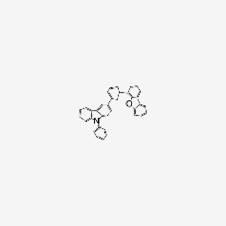 C1=CC(c2cccc3c2oc2ccccc23)CC(c2ccc3c(c2)c2ccccc2n3-c2ccccc2)=C1